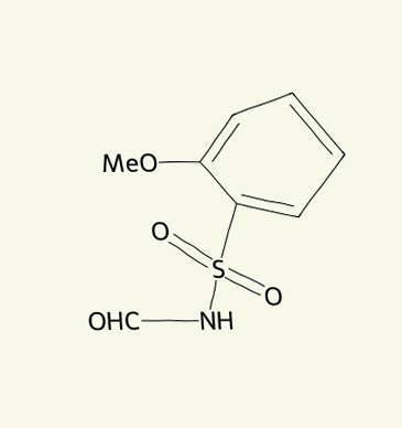 COc1ccccc1S(=O)(=O)NC=O